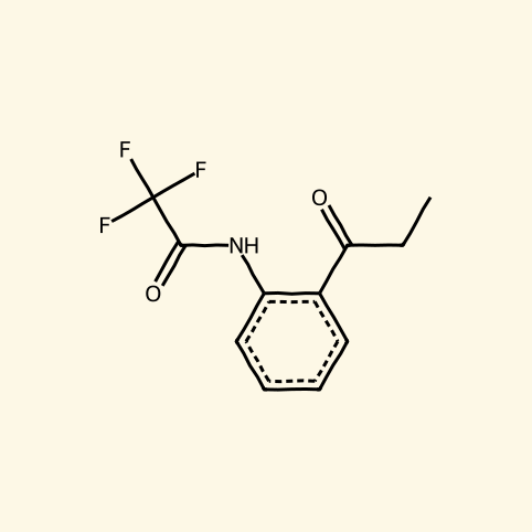 CCC(=O)c1ccccc1NC(=O)C(F)(F)F